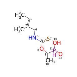 C/C=C(\C)CNC(=S)OC(C)[PH](=O)O